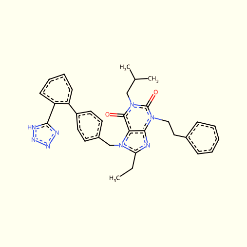 CCc1nc2c(c(=O)n(CC(C)C)c(=O)n2CCc2ccccc2)n1Cc1ccc(-c2ccccc2-c2nnn[nH]2)cc1